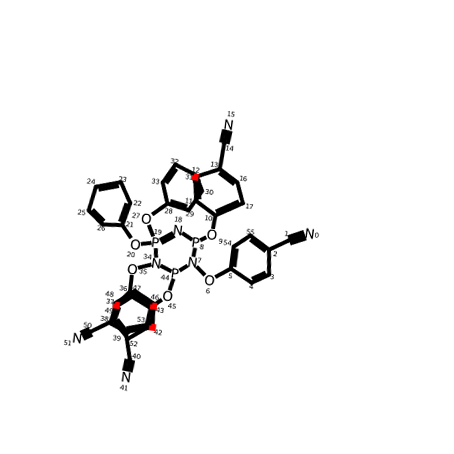 N#Cc1ccc(ON2P(Oc3ccc(C#N)cc3)N=P(Oc3ccccc3)(Oc3ccccc3)N(Oc3ccc(C#N)cc3)P2Oc2ccc(C#N)cc2)cc1